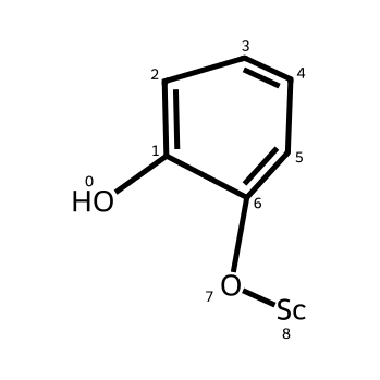 Oc1ccccc1[O][Sc]